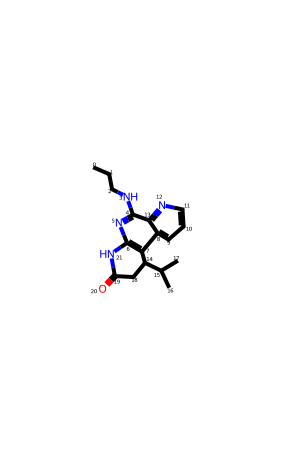 CCCNc1nc2c(c3cccnc13)C(C(C)C)CC(=O)N2